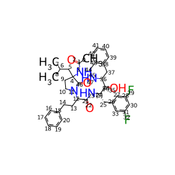 CC(=O)NC1(CC(C)C)CCN(C(CCc2ccccc2)C(=O)N[C@@H](Cc2cc(F)cc(F)c2)[C@H](O)C2Cc3ccccc3CN2)C1=O